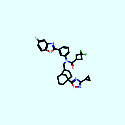 O=C(C1CC(F)(F)C1)N(CC1CCC2(c3nc(C4CC4)no3)CCCC1C2)c1cccc(-c2nc3cc(F)ccc3o2)c1